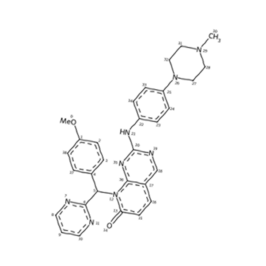 COc1ccc(C(c2ncccn2)n2c(=O)ccc3cnc(Nc4ccc(N5CCN(C)CC5)cc4)nc32)cc1